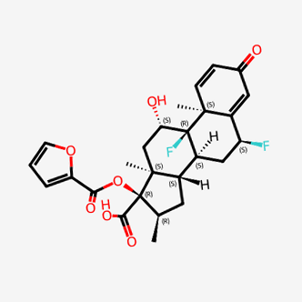 C[C@@H]1C[C@H]2[C@@H]3C[C@H](F)C4=CC(=O)C=C[C@]4(C)[C@@]3(F)[C@@H](O)C[C@]2(C)[C@@]1(OC(=O)c1ccco1)C(=O)O